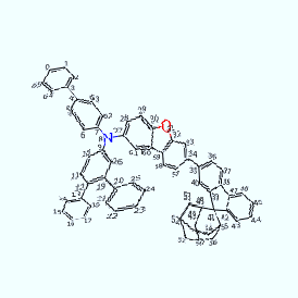 c1ccc(-c2ccc(N(c3ccc(-c4ccccc4)c(-c4ccccc4)c3)c3ccc4oc5cc(-c6ccc7c(c6)C6(c8ccccc8-7)C7CC8CC(C7)CC6C8)ccc5c4c3)cc2)cc1